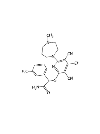 CCc1c(C#N)c(SC(C(N)=O)c2cccc(C(F)(F)F)c2)nc(N2CCCN(C)CC2)c1C#N